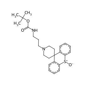 CC(C)(C)OC(=O)NCCCN1CCC2(CC1)c1ccccc1[S+]([O-])c1ccccc12